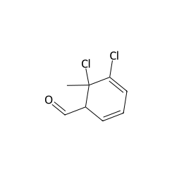 CC1(Cl)C(Cl)=CC=CC1C=O